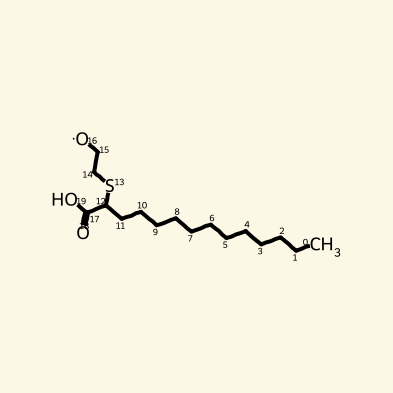 CCCCCCCCCCCCC(SCC[O])C(=O)O